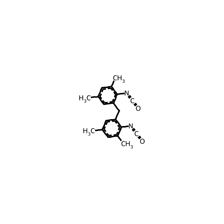 Cc1cc(C)c(N=C=O)c(Cc2cc(C)cc(C)c2N=C=O)c1